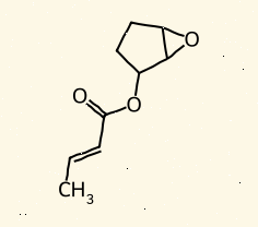 CC=CC(=O)OC1CCC2OC12